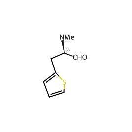 CN[C@@H]([C]=O)Cc1cccs1